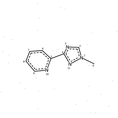 Cn1cnc(-c2ccccn2)n1